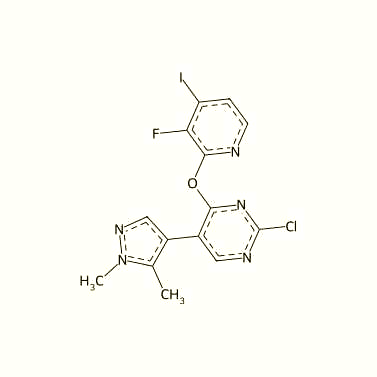 Cc1c(-c2cnc(Cl)nc2Oc2nccc(I)c2F)cnn1C